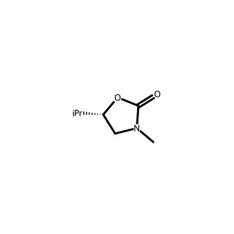 CC(C)[C@H]1CN(C)C(=O)O1